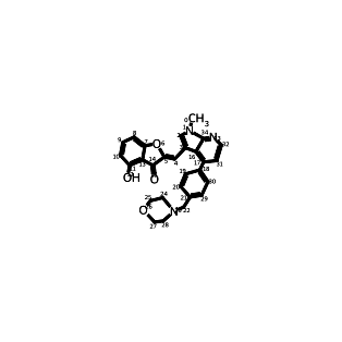 Cn1cc(/C=C2\Oc3cccc(O)c3C2=O)c2c(-c3ccc(CN4CCOCC4)cc3)ccnc21